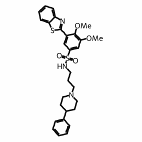 COc1cc(S(=O)(=O)NCCCN2CCC(c3ccccc3)CC2)cc(-c2nc3ccccc3s2)c1OC